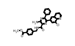 COC(=O)c1ccc(CNC(=O)c2nc(-c3cc(Cl)c4ncccc4c3)c(-c3ccccc3)nc2N)cc1